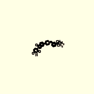 CC(C)(C)c1cccc(CN2CCC(c3ccc4c(c3)CN(C3CCC(=O)NC3=O)C4=O)CC2)c1